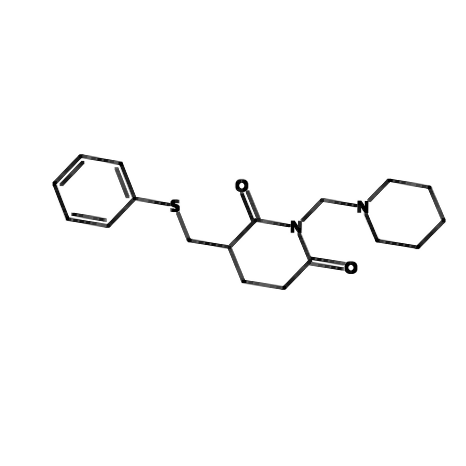 O=C1CCC(CSc2ccccc2)C(=O)N1CN1CCCCC1